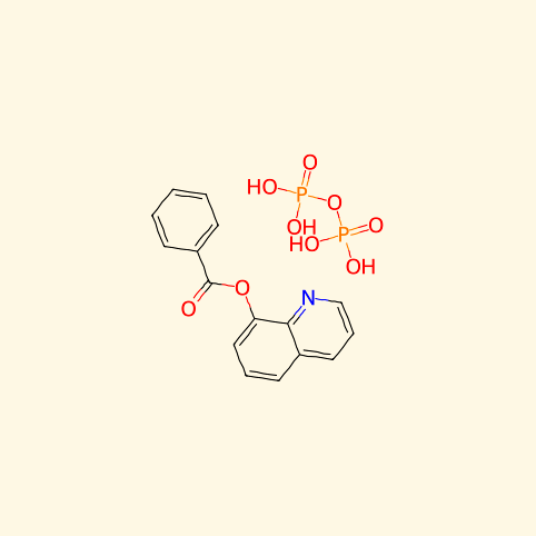 O=C(Oc1cccc2cccnc12)c1ccccc1.O=P(O)(O)OP(=O)(O)O